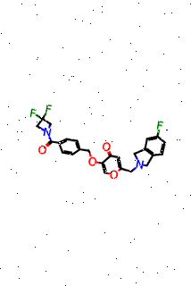 O=C(c1ccc(COc2coc(CN3Cc4ccc(F)cc4C3)cc2=O)cc1)N1CC(F)(F)C1